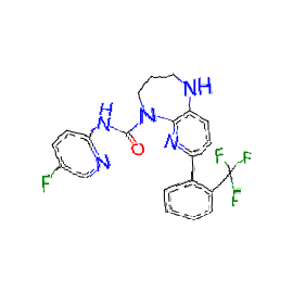 O=C(Nc1ccc(F)cn1)N1CCCNc2ccc(-c3ccccc3C(F)(F)F)nc21